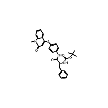 Cn1c(=O)cc(Sc2ccc(NC(=O)C(Cc3ccccc3)NC(=O)OC(C)(C)C)cc2)c2ccccc21